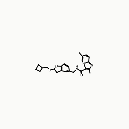 Cc1ccc2nc(C)c(C(=O)NCc3ccc4c(c3)CC(OCC3CCC3)O4)n2c1